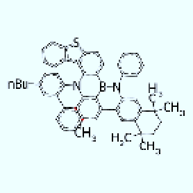 CCCCc1ccc(N2c3cc(C)cc4c3B(c3ccc5sc6ccccc6c5c32)N(c2ccccc2)c2cc3c(cc2-4)C(C)(C)CCC3(C)C)c(-c2ccccc2)c1